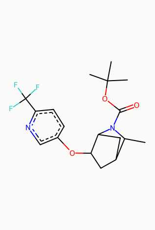 CC1C2CC(Oc3ccc(C(F)(F)F)nc3)C(C2)N1C(=O)OC(C)(C)C